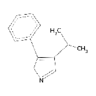 CC(C)C1=C(c2ccccc2)CN=C1